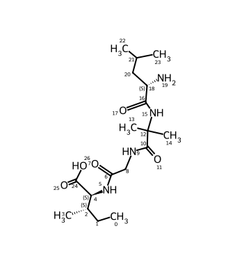 CC[C@H](C)[C@H](NC(=O)CNC(=O)C(C)(C)NC(=O)[C@@H](N)CC(C)C)C(=O)O